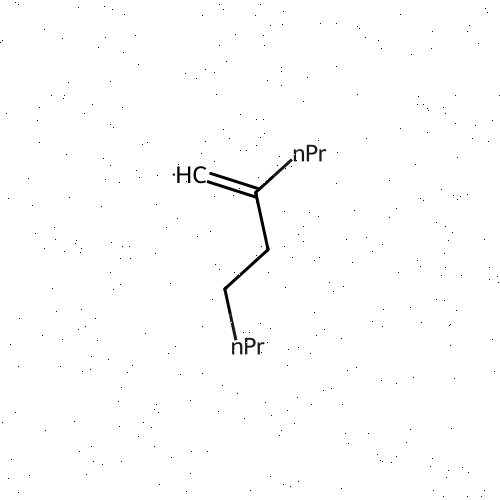 [CH]=C(CCC)CCCCC